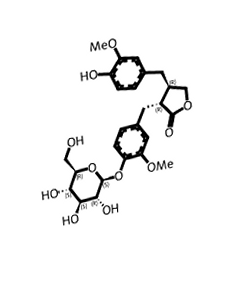 COc1cc(C[C@H]2COC(=O)[C@@H]2Cc2ccc(O[C@@H]3O[C@H](CO)[C@@H](O)[C@H](O)[C@H]3O)c(OC)c2)ccc1O